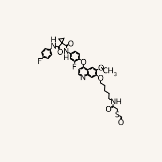 COc1cc2c(Oc3ccc(NC(=O)C4(C(=O)Nc5ccc(F)cc5)CC4)cc3F)ccnc2cc1OCCCCCNC(=O)CSC=O